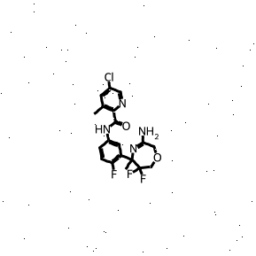 Cc1cc(Cl)cnc1C(=O)Nc1ccc(F)c(C2(C)N=C(N)COCC2(F)F)c1